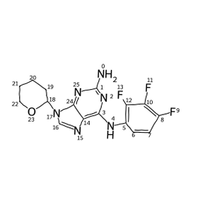 Nc1nc(Nc2ccc(F)c(F)c2F)c2ncn(C3CCCCO3)c2n1